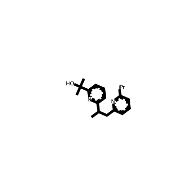 CC(C)c1cccc(CC(C)c2cccc(C(C)(C)O)n2)n1